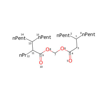 CCCCCC(CCCCC)CC(=O)OCOC(=O)C(CCC)C(CCCCC)CCCCC